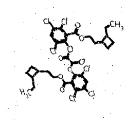 CCC1CCC1CCOC(=O)c1c(Cl)c(Cl)cc(Cl)c1OC(=O)C(=O)Oc1c(Cl)cc(Cl)c(Cl)c1C(=O)OCCC1CCC1CC